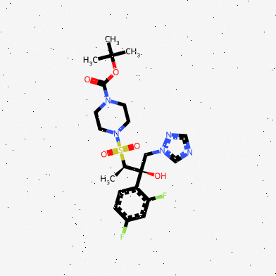 C[C@H]([C@](O)(Cn1cncn1)c1ccc(F)cc1F)S(=O)(=O)N1CCN(C(=O)OC(C)(C)C)CC1